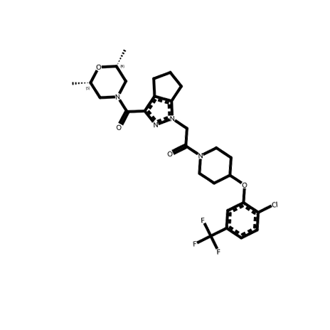 C[C@@H]1CN(C(=O)c2nn(CC(=O)N3CCC(Oc4cc(C(F)(F)F)ccc4Cl)CC3)c3c2CCC3)C[C@H](C)O1